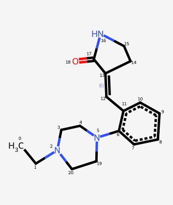 CCN1CCN(c2ccccc2/C=C2\CCNC2=O)CC1